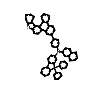 c1ccc(C2(c3ccccc3)c3ccccc3-c3ccc(N(c4ccc(-c5ccc6c7ccccc7c7c(ccc8oc9ccccc9c87)c6c5)cc4)c4ccc5ccccc5c4)cc32)cc1